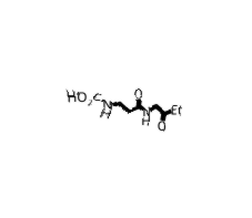 CCC(=O)CNC(=O)CCNC(=O)O